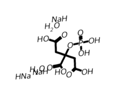 O.O.O=C(O)CC(CC(=O)O)(OP(=O)(O)O)C(=O)O.[NaH].[NaH].[NaH]